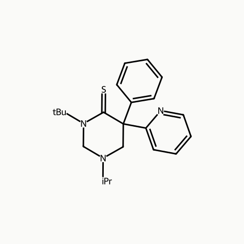 CC(C)N1CN(C(C)(C)C)C(=S)C(c2ccccc2)(c2ccccn2)C1